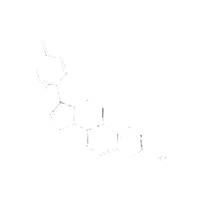 C=C/C=C\C(=C/C)C1=CCC2C3CC=C4C[C@@H](O)CC[C@]4(C)C3CC[C@]12C